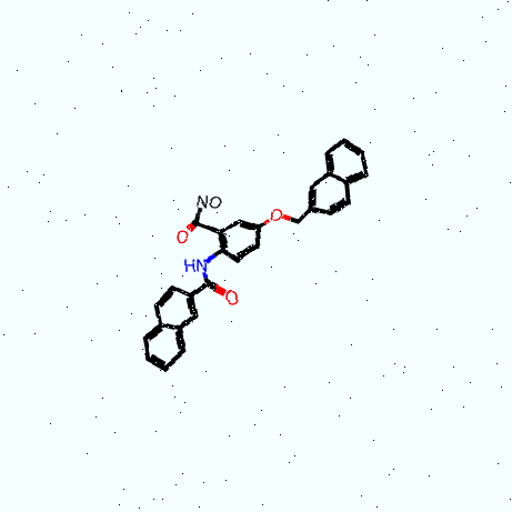 O=NC(=O)c1cc(OCc2ccc3ccccc3c2)ccc1NC(=O)c1ccc2ccccc2c1